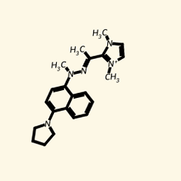 C/C(=N\N(C)c1ccc(N2CCCC2)c2ccccc12)c1n(C)cc[n+]1C